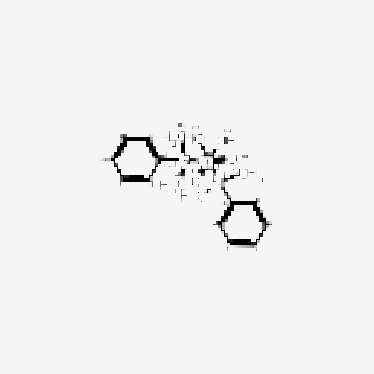 C[Si](C)(c1ccccc1)[Cr](=[O])(=[O])([OH])([OH])[Si](C)(C)c1ccccc1